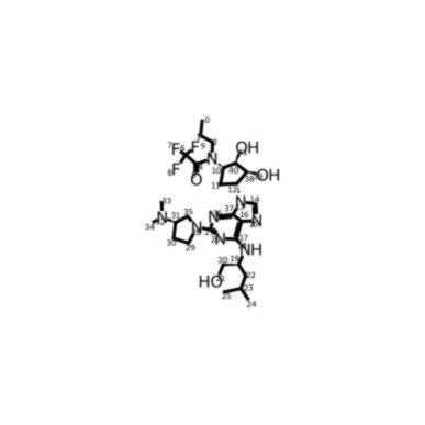 CCCN(C(=O)C(F)(F)F)[C@H]1C[C@@H](n2cnc3c(N[C@H](CO)CC(C)C)nc(N4CC[C@@H](N(C)C)C4)nc32)[C@H](O)[C@@H]1O